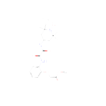 CCCCCCCCOC(=O)COc1ccccc1NC(=O)C(=O)NC1CC(C)(C)N(OCCCCCCCC)C(C)(C)C1